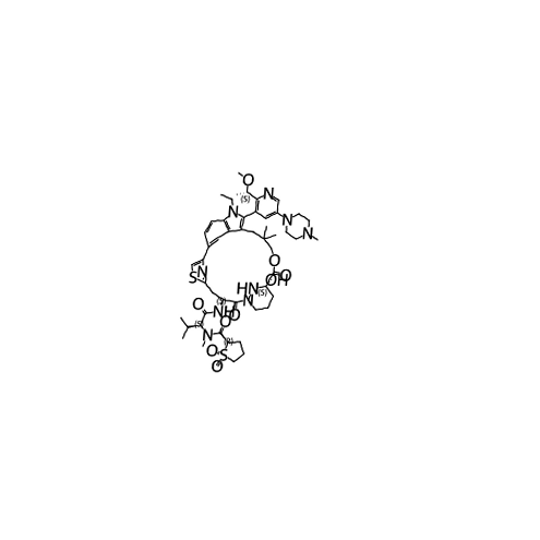 CCn1c(-c2cc(N3CCN(C)CC3)cnc2[C@H](C)OC)c2c3cc(ccc31)-c1csc(n1)C[C@H](NC(=O)[C@H](C(C)C)N(C)C(=O)[C@H]1CCCS1(=O)=O)C(=O)N1CCC[C@@](O)(N1)C(=O)OCC(C)(C)C2